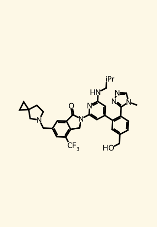 CC(C)CNc1cc(-c2cc(CO)ccc2-c2nncn2C)cc(N2Cc3c(cc(CN4CCC5(CC5)C4)cc3C(F)(F)F)C2=O)n1